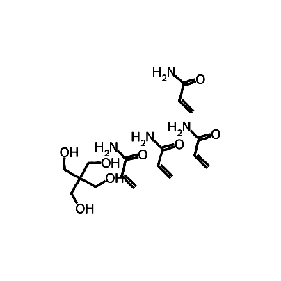 C=CC(N)=O.C=CC(N)=O.C=CC(N)=O.C=CC(N)=O.OCC(CO)(CO)CO